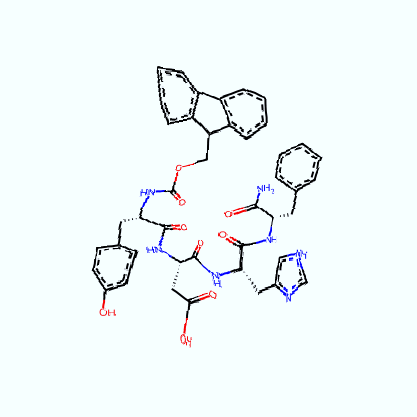 NC(=O)[C@H](Cc1ccccc1)NC(=O)[C@H](Cc1c[nH]cn1)NC(=O)[C@H](CC(=O)O)NC(=O)[C@H](Cc1ccc(O)cc1)NC(=O)OCC1c2ccccc2-c2ccccc21